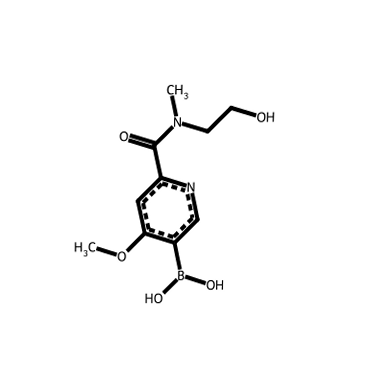 COc1cc(C(=O)N(C)CCO)ncc1B(O)O